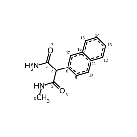 CNC(=O)C(C(N)=O)c1ccc2ccccc2c1